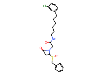 O=C(CN1C(=O)CC1[S+]([O-])Cc1ccccc1)NCCCCCCc1cccc(Cl)c1